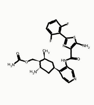 C[C@H]1C[C@@H](c2ccncc2NC(=O)c2nc(-c3c(F)cccc3F)sc2N)C[C@H](N)[C@H]1COC(N)=O